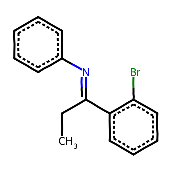 CC/C(=N\c1ccccc1)c1ccccc1Br